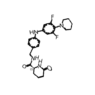 O=C1CCC[C@@H](C(=O)NCc2ccc(Nc3cc(F)c(N4CCCCC4)c(F)c3)cc2)N1